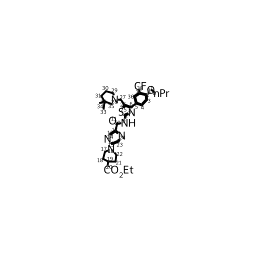 CCCOc1ccc(-c2nc(NC(=O)c3cnc(N4CCC(C(=O)OCC)CC4)cn3)sc2CN2CCCC(C)(C)C2)cc1C(F)(F)F